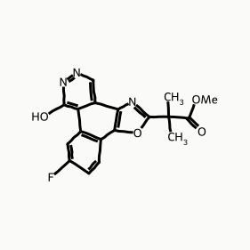 COC(=O)C(C)(C)c1nc2c3cnnc(O)c3c3cc(F)ccc3c2o1